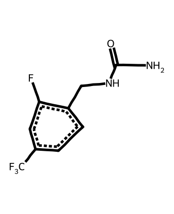 NC(=O)NCc1ccc(C(F)(F)F)cc1F